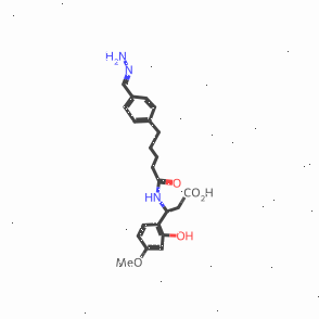 COc1ccc(C(CC(=O)O)NC(=O)CCCCc2ccc(C=NN)cc2)c(O)c1